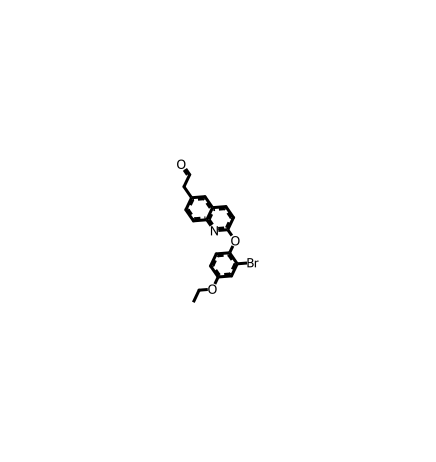 CCOc1ccc(Oc2ccc3cc(CC=O)ccc3n2)c(Br)c1